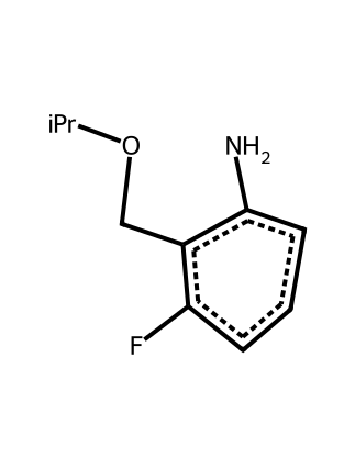 CC(C)OCc1c(N)cccc1F